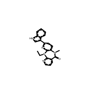 CCN1c2ncccc2C(=O)N(C)c2ccc(-c3c[nH]c4ccccc34)nc21